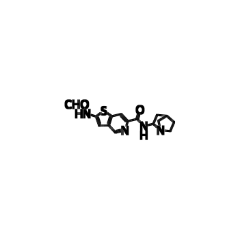 O=CNc1cc2cnc(C(=O)NC3CC4CCN3C4)cc2s1